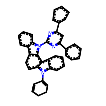 C1=CC(n2c3ccccc3c3c2ccc2c4ccccc4n(-c4nc(-c5ccccc5)cc(-c5ccccc5)n4)c23)=CCC1